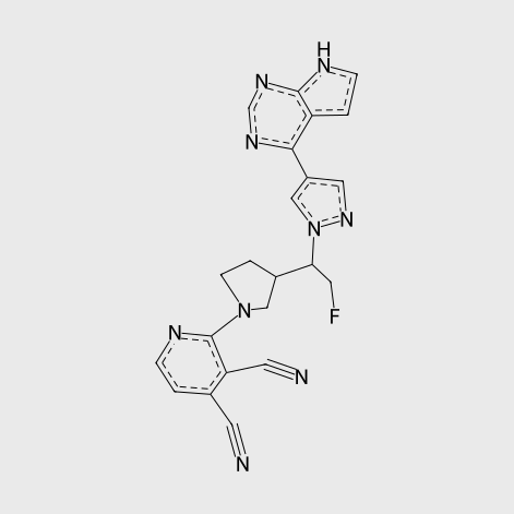 N#Cc1ccnc(N2CCC(C(CF)n3cc(-c4ncnc5[nH]ccc45)cn3)C2)c1C#N